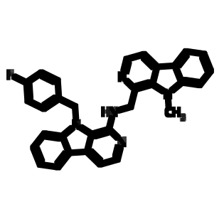 Cn1c2ccccc2c2ccnc(CNc3nccc4c5ccccc5n(Cc5ccc(F)cc5)c34)c21